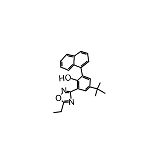 CCc1nc(-c2cc(C(C)(C)C)cc(-c3cccc4ccccc34)c2O)no1